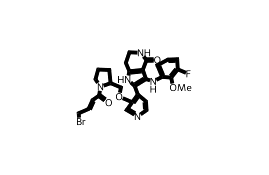 COc1c(F)cccc1Nc1c(-c2ccncc2OCC2CCCN2C(=O)C=CCBr)[nH]c2c1C(=O)NCC2